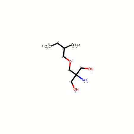 NC(CO)(CO)COCC(CC(=O)O)C(=O)O